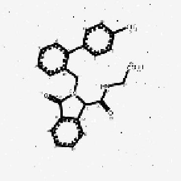 Cc1ccc(-c2ccccc2CN2C(=O)c3ccccc3C2C(=O)NCC(=O)O)cc1